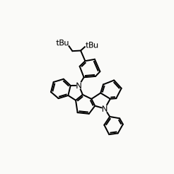 CC(C)(C)CC(c1cccc(-n2c3ccccc3c3ccc4c(c5ccccc5n4-c4ccccc4)c32)c1)C(C)(C)C